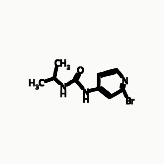 CC(C)NC(=O)Nc1ccnc(Br)c1